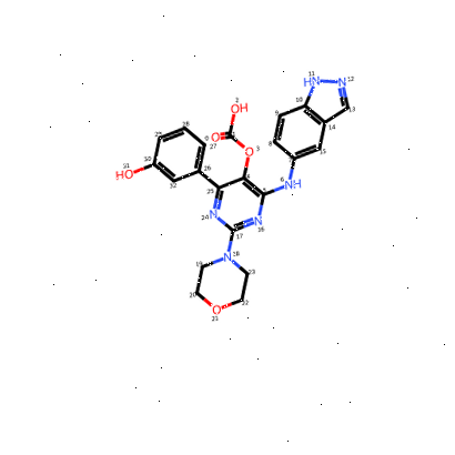 O=C(O)Oc1c(Nc2ccc3[nH]ncc3c2)nc(N2CCOCC2)nc1-c1cccc(O)c1